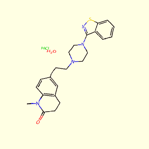 CN1C(=O)CCc2cc(CCN3CCN(c4nsc5ccccc45)CC3)ccc21.Cl.O